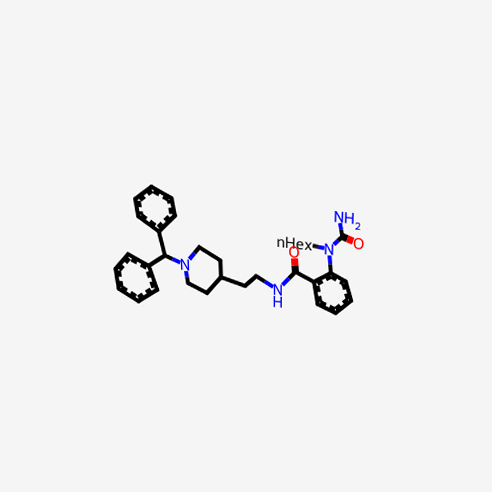 CCCCCCN(C(N)=O)c1ccccc1C(=O)NCCC1CCN(C(c2ccccc2)c2ccccc2)CC1